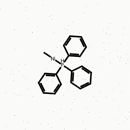 [CH3][Ni][PH](c1ccccc1)(c1ccccc1)c1ccccc1